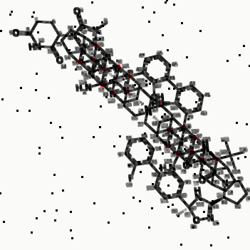 Cn1c(=O)n(C2CCC(=O)NC2=O)c2ccc([C@H]3CC[C@@H](N4CCC(c5cnc(N6C7CCC6CN(c6cc(-c8cccc(-c9cccc(-c%10cc(N%11CC%12CCC(C%11)N%12c%11ncc(C%12CCN([C@H]%13CC[C@@H](C(=O)N[C@H](C(=O)N%14C[C@H](O)C[C@H]%14C%14=NO[C@@](C)(c%15ccc(-c%16ccccc%16F)cc%15)N%14)C(C)(C)C)CC%13)CC%12)cn%11)c(N)nn%10)c9O)c8O)nnc6N)C7)nc5)CC4)CC3)cc21